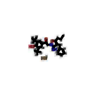 Br.CCCc1on(CC(=O)c2cc(C(C)(C)C)c(O)c(C(C)(C)C)c2)c(=N)c1Cc1ccccc1